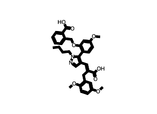 CCCCn1ncc(/C=C(\Cc2cc(OC)ccc2OC)C(=O)O)c1-c1ccc(OC)cc1OCc1ccccc1C(=O)O